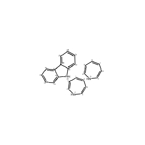 C1=CC=CNC=C1.C1=CC=CNC=C1.c1ccc2c(c1)[nH]c1ccccc12